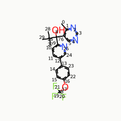 Cc1ncncc1C(O)(c1ccc(-c2ccc(OC(F)(F)F)cc2)cn1)C(C)(C)C